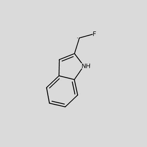 F[CH]c1cc2ccccc2[nH]1